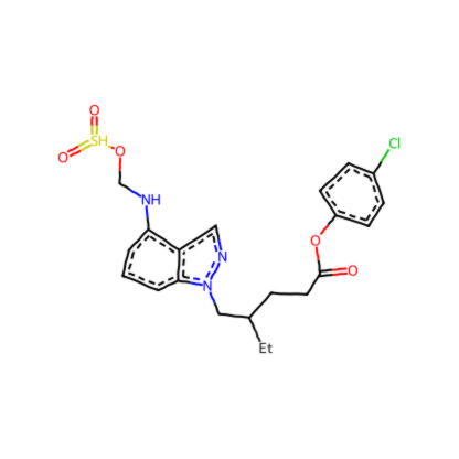 CCC(CCC(=O)Oc1ccc(Cl)cc1)Cn1ncc2c(NCO[SH](=O)=O)cccc21